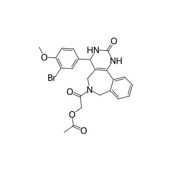 COc1ccc(C2NC(=O)NC3=C2CN(C(=O)COC(C)=O)Cc2ccccc23)cc1Br